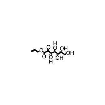 C=CCOC(=O)C(=O)[C@H](O)[C@@H](O)[C@H](O)[C@H](O)CO